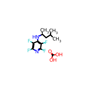 CC(C)C[C@H](C)Nc1c(F)c(F)nc(F)c1F.O=C(O)O